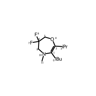 CCC(C)C1=C(C(C)C)OCC(F)(F)CN1C